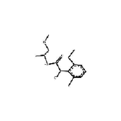 CCc1cccc(C)c1C(Cl)C(=O)NC(C)COC